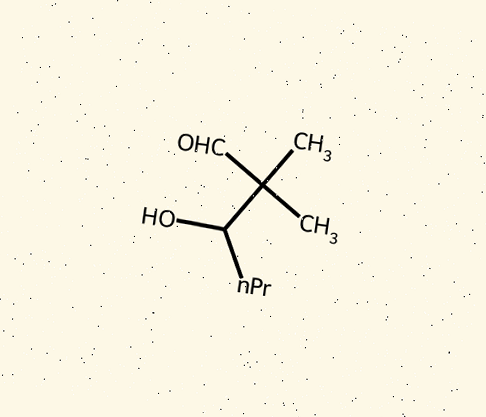 CCCC(O)C(C)(C)C=O